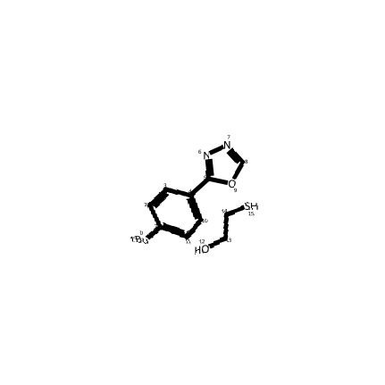 CC(C)(C)c1ccc(-c2nnco2)cc1.OCCS